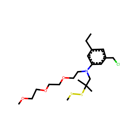 CCc1cc(CCl)cc(N(CCOCCOCCOC)CC(C)(C)SSC)c1